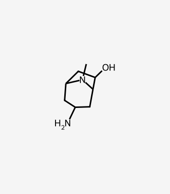 CN1C2CC(N)CC1C(O)C2